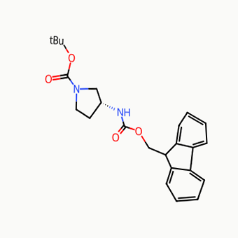 CC(C)(C)OC(=O)N1CC[C@@H](NC(=O)OCC2c3ccccc3-c3ccccc32)C1